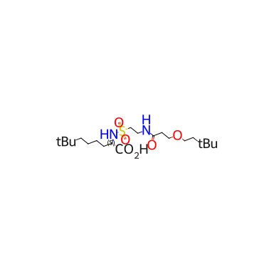 CC(C)(C)CCCC[C@H](NS(=O)(=O)CCNC(=O)CCOCCC(C)(C)C)C(=O)O